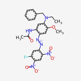 CCN(Cc1ccccc1)c1cc(NC(C)=O)c(/N=N/c2cc(F)c([N+](=O)[O-])cc2[N+](=O)[O-])cc1OC